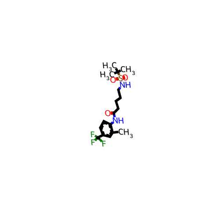 Cc1cc(C(F)(F)F)ccc1NC(=O)CCCCNS(=O)(=O)C(C)(C)C